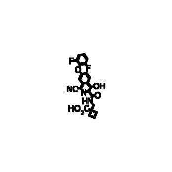 N#Cc1nc(C(=O)NCC2(C(=O)O)CCC2)c(O)c2ccc(Oc3c(F)cccc3F)cc12